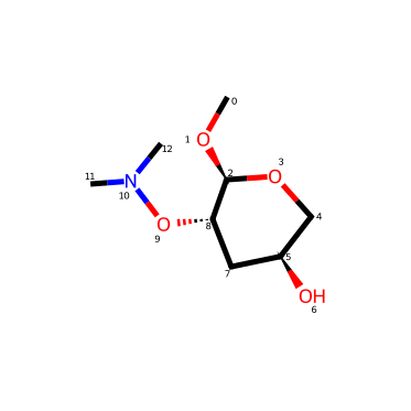 CO[C@H]1OC[C@@H](O)C[C@@H]1ON(C)C